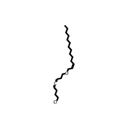 CCCCCCCCCCC/C=C\COCCC=C=CCCCCl